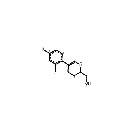 OCC1CCC(c2ccc(F)cc2F)=CO1